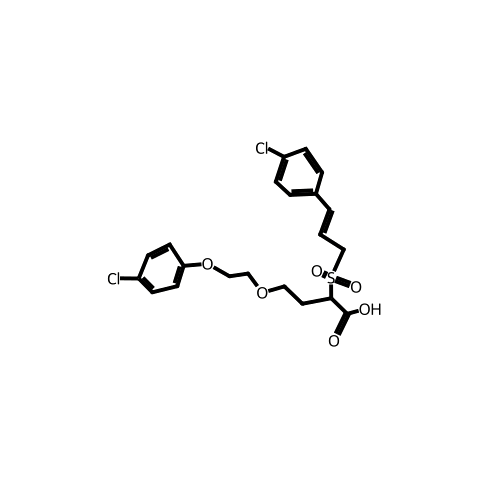 O=C(O)C(CCOCCOc1ccc(Cl)cc1)S(=O)(=O)CC=Cc1ccc(Cl)cc1